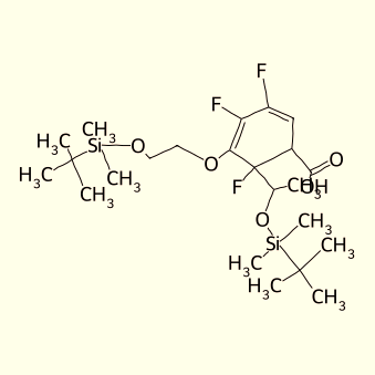 CC(O[Si](C)(C)C(C)(C)C)C1(F)C(OCCO[Si](C)(C)C(C)(C)C)=C(F)C(F)=CC1C(=O)O